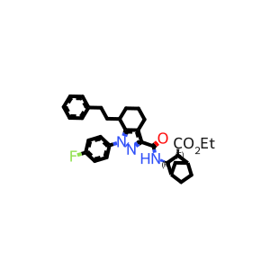 CCOC(=O)[C@H]1C2CCC(C2)[C@H]1NC(=O)c1nn(-c2ccc(F)cc2)c2c1CCCC2CCc1ccccc1